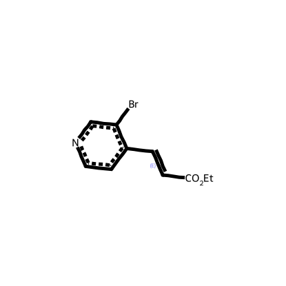 CCOC(=O)/C=C/c1ccncc1Br